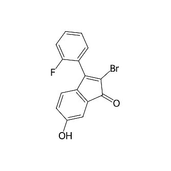 O=C1C(Br)=C(c2ccccc2F)c2ccc(O)cc21